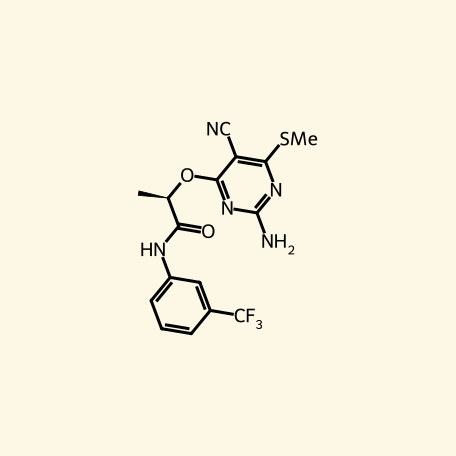 CSc1nc(N)nc(O[C@H](C)C(=O)Nc2cccc(C(F)(F)F)c2)c1C#N